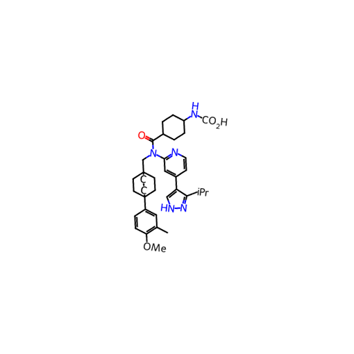 COc1ccc(C23CCC(CN(C(=O)C4CCC(NC(=O)O)CC4)c4cc(-c5c[nH]nc5C(C)C)ccn4)(CC2)CC3)cc1C